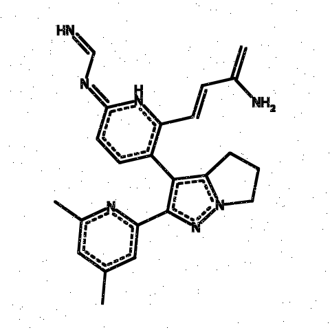 C=C(N)/C=C/c1[nH]/c(=N\C=N)ccc1-c1c(-c2cc(C)cc(C)n2)nn2c1CCC2